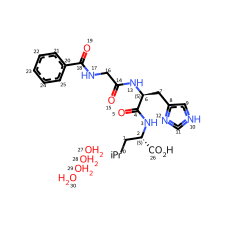 CC(C)C[C@H](NC(=O)[C@H](Cc1c[nH]cn1)NC(=O)CNC(=O)c1ccccc1)C(=O)O.O.O.O.O